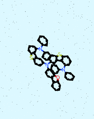 c1ccc(N(c2ccccc2)c2cccc3sc4ccc(N(c5ccc6c(c5)oc5ccccc56)c5ccc6sc7cccc(N(c8ccccc8)c8ccccc8)c7c6c5)cc4c23)cc1